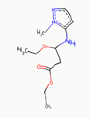 CCOC(=O)CC(Nc1ccnn1C)OCC